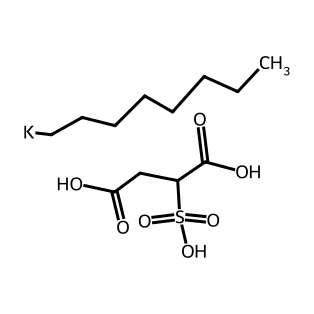 CCCCCCC[CH2][K].O=C(O)CC(C(=O)O)S(=O)(=O)O